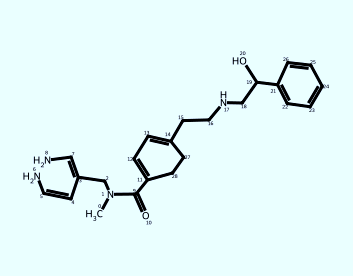 CN(CC(/C=C\N)=C/N)C(=O)C1=CC=C(CCNCC(O)c2ccccc2)CC1